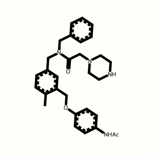 CC(=O)Nc1ccc(OCc2cc(CN(Cc3ccccc3)C(=O)CN3CCNCC3)ccc2C)cc1